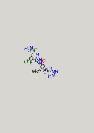 CSc1cc(-n2cc3cc(-c4cc(CCC(F)(F)CN)cc(Cl)c4F)[nH]c3nc2=O)ccc1[C@@H]1CCC[C@@H](CCNC(C)=N)N1